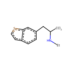 CCNC(Cc1ccc2ccsc2c1)C(Cl)(Cl)Cl